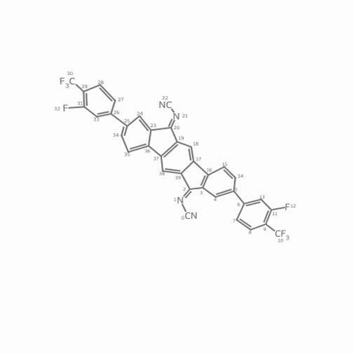 N#C/N=c1\c2cc(-c3ccc(C(F)(F)F)c(F)c3)ccc2c2cc3/c(=N/C#N)c4cc(-c5ccc(C(F)(F)F)c(F)c5)ccc4c3cc12